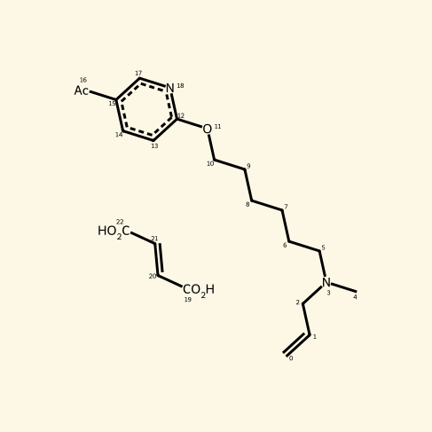 C=CCN(C)CCCCCCOc1ccc(C(C)=O)cn1.O=C(O)/C=C/C(=O)O